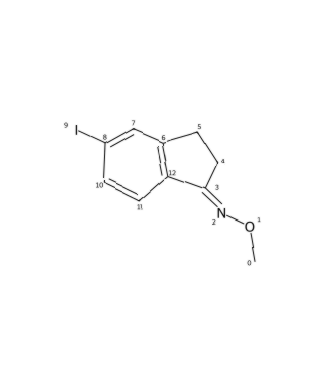 CON=C1CCc2cc(I)ccc21